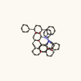 C1=c2cccc(-c3ccccc3)c2=C(c2ccccc2N(c2ccccc2-c2ccc(-c3ccccc3)cc2)c2ccccc2-c2cccc3c4ccccc4n(-c4ccccc4)c23)CC1